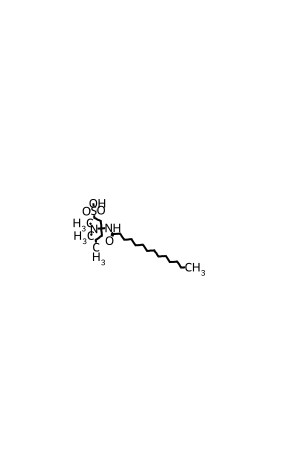 CCCCCCCCCCCCCC(=O)NC(CCC)(CCS(=O)(=O)O)N(C)C